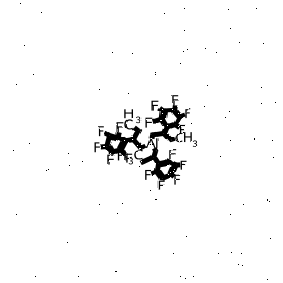 CCC([CH2][Al]([CH2]C(CC)c1c(F)c(F)c(F)c(F)c1F)[CH2]C(CC)c1c(F)c(F)c(F)c(F)c1F)c1c(F)c(F)c(F)c(F)c1F